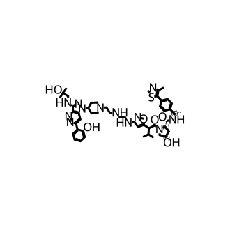 Cc1ncsc1-c1ccc([C@H](C)NC(=O)[C@@H]2C[C@@H](O)CN2C(=O)C(c2cc(NCCNCCN3CCC(n4nc(NCC(C)(C)O)c5nnc(-c6ccccc6O)cc54)CC3)no2)C(C)C)cc1